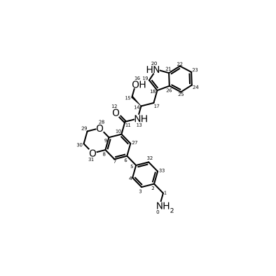 NCc1ccc(-c2cc3c(c(C(=O)N[C@@H](CO)Cc4c[nH]c5ccccc45)c2)OCCO3)cc1